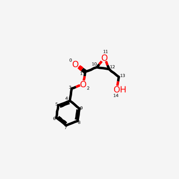 O=C(OCc1ccccc1)C1OC1CO